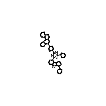 c1ccc(-c2nc(-c3ccc(-c4cc5ccc6ccccc6c5c5ccccc45)cc3)nc(-c3cccc4oc5c(-c6ccccc6)cccc5c34)n2)cc1